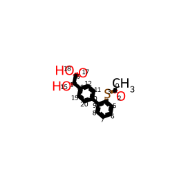 CC(=O)Sc1ccccc1-c1ccc(C(O)C(=O)O)cc1